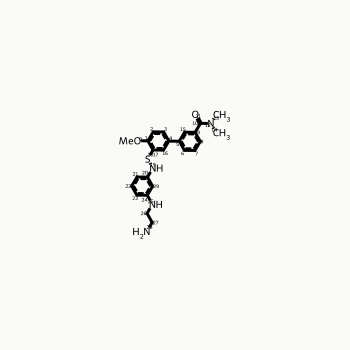 COc1ccc(-c2cccc(C(=O)N(C)C)c2)cc1SNc1cccc(NCCN)c1